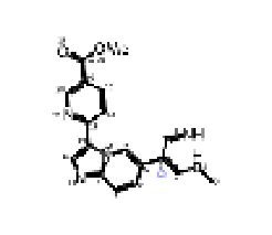 CB/C=C(\C=N)c1ccc2ncc(-c3ccc(C(=O)OC)cn3)n2c1